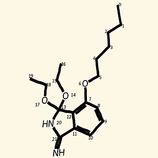 CCCCCCOc1cccc2c1C(OCC)(OCC)NC2=N